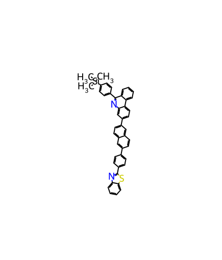 C[Si](C)(C)c1ccc(-c2nc3cc(-c4ccc5cc(-c6ccc(-c7nc8ccccc8s7)cc6)ccc5c4)ccc3c3ccccc23)cc1